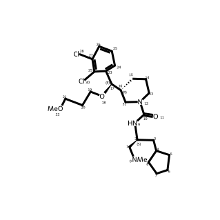 CNC[C@H](CC1CCCC1)NC(=O)N1CCC[C@@H]([C@@H](OCCCOC)c2cccc(Cl)c2Cl)C1